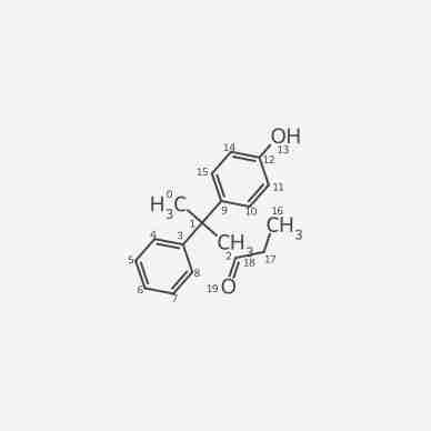 CC(C)(c1ccccc1)c1ccc(O)cc1.CCC=O